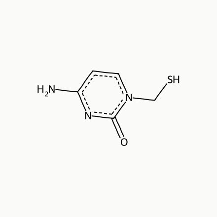 Nc1ccn(CS)c(=O)n1